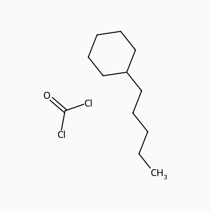 CCCCCC1CCCCC1.O=C(Cl)Cl